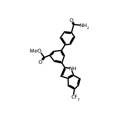 COC(=O)c1cc(-c2ccc(C(N)=O)cc2)cc(-c2cc3cc(C(F)(F)F)ccc3[nH]2)c1